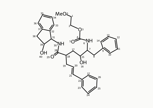 COCCOC(=O)NC(Cc1ccccc1)C(O)CC(C/C=C/c1ccccc1)C(=O)NC1c2ccccc2CC1O